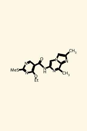 CCOc1nc(SC)ncc1C(=O)Nc1cn2cc(C)nc2c(C)n1